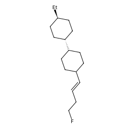 CC[C@H]1CC[C@H](C2CCC(/C=C/CCF)CC2)CC1